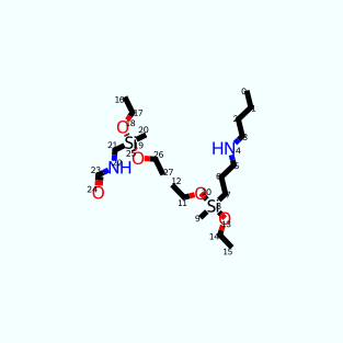 CCCCNCCC[Si](C)(OCC)OCC.CCO[Si](C)(CNC=O)OCC